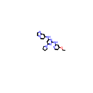 CCOc1ccnc(Nc2nc(Nc3ccn4ccnc4c3)cc(N3CCCC3)n2)c1